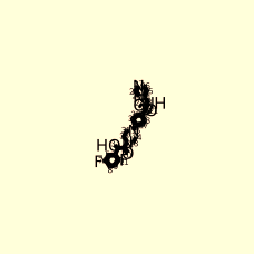 O=C(C(O)c1cc(F)ccc1F)N1CCN(c2ccc(S(=O)(=O)Nc3ccncn3)cc2)CC1